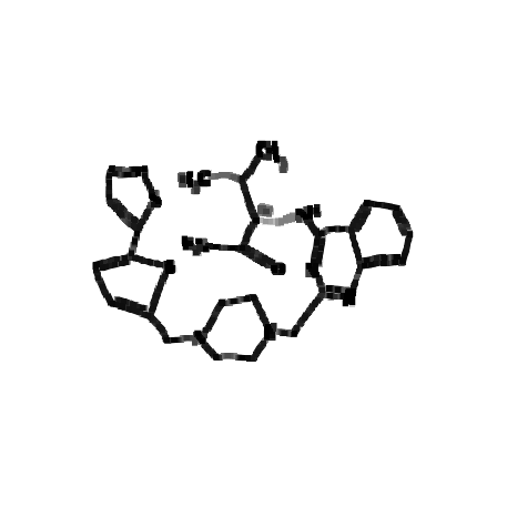 CC(C)[C@H](Nc1nc(CN2CCN(Cc3ccc(-c4cccs4)s3)CC2)nc2ccccc12)C(N)=O